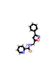 O=C(NCc1cc(-c2ccccc2)no1)c1ccccn1